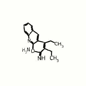 CCc1c(CC)c2cc3ccccc3nc2oc1=N.N